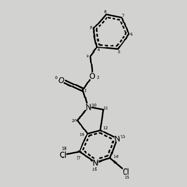 O=C(OCc1ccccc1)N1Cc2nc(Cl)nc(Cl)c2C1